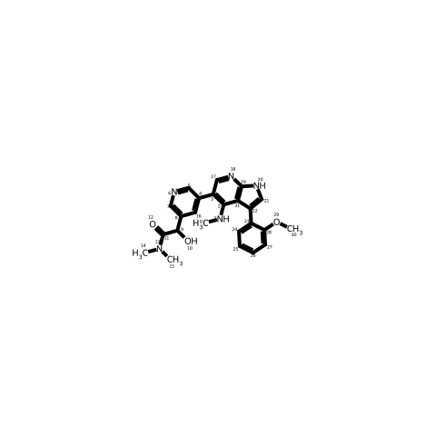 CNc1c(-c2cncc(C(O)C(=O)N(C)C)c2)cnc2[nH]cc(-c3ccccc3OC)c12